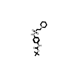 CC(C)(C)OC(=O)Nc1ccc(NS(=O)(=O)CCN2CCCCC2)cc1